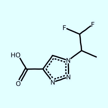 CC(C(F)F)n1cc(C(=O)O)nn1